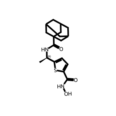 C[C@@H](NC(=O)C12CC3CC(CC(C3)C1)C2)c1ccc(C(=O)NO)s1